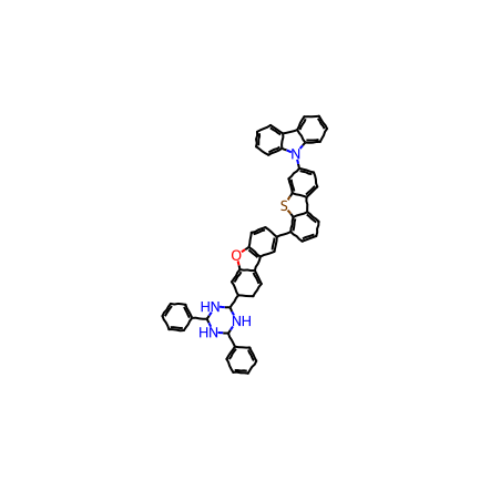 C1=c2oc3ccc(-c4cccc5c4sc4cc(-n6c7ccccc7c7ccccc76)ccc45)cc3c2=CCC1C1NC(c2ccccc2)NC(c2ccccc2)N1